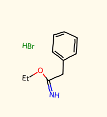 Br.CCOC(=N)Cc1ccccc1